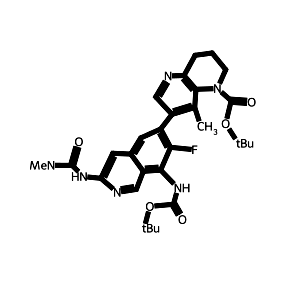 CNC(=O)Nc1cc2cc(-c3cnc4c(c3C)N(C(=O)OC(C)(C)C)CCC4)c(F)c(NC(=O)OC(C)(C)C)c2cn1